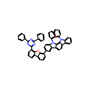 c1ccc(-c2nc(-c3ccccc3)nc(-c3cccc4c3oc3c(-c5ccc6c(c5)c5ccc7c8ccccc8n(-c8ccccc8)c7c5n6-c5ccccc5)cccc34)n2)cc1